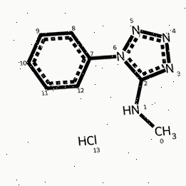 CNc1nnnn1-c1ccccc1.Cl